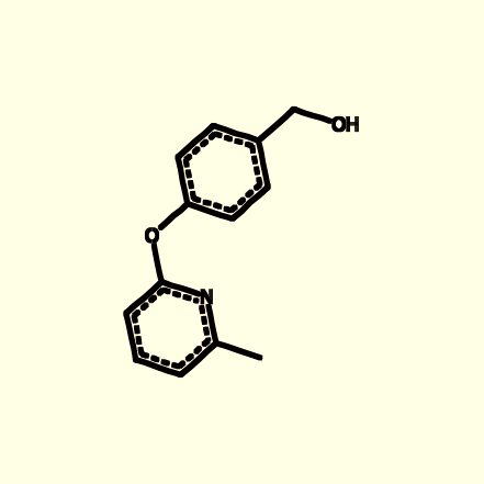 Cc1cccc(Oc2ccc(CO)cc2)n1